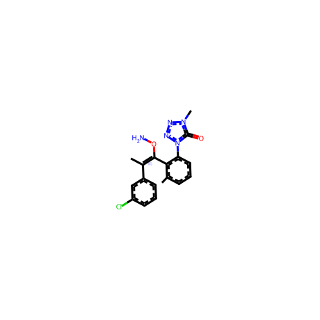 C/C(=C(\ON)c1c(C)cccc1-n1nnn(C)c1=O)c1cccc(Cl)c1